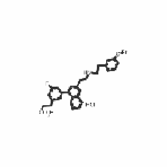 CCOc1cccc(CCNCCc2cc(-c3cc(F)cc(CCC(=O)O)c3)c3ccccc3c2)c1.Cl